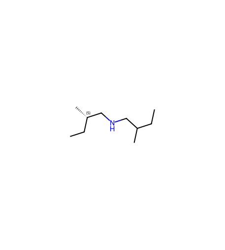 CCC(C)CNC[C@@H](C)CC